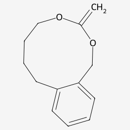 C=C1OCCCCc2ccccc2CO1